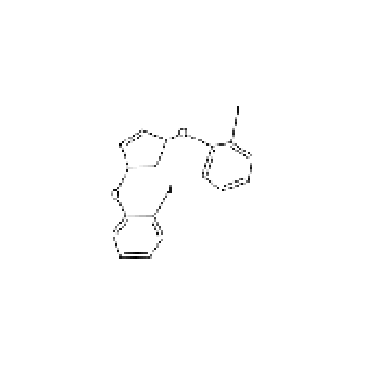 Ic1ccccc1OC1C=CC(Oc2ccccc2I)C1